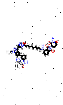 C[C@@H]1CC(=O)Nc2cccc(-c3ccc4c(c3)c(-c3cnn(C(=O)CCCCCCCCCNc5cccc6c5C(=O)N(C5CCC(=O)NC5=O)C6=O)c3)nn4C)c2N1